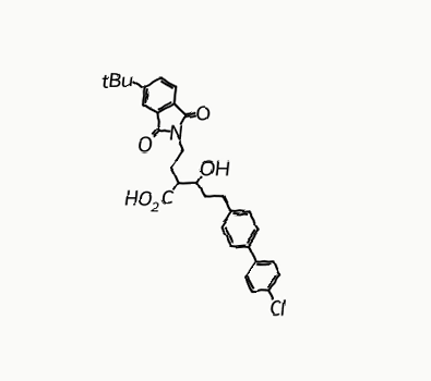 CC(C)(C)c1ccc2c(c1)C(=O)N(CCC(C(=O)O)C(O)CCc1ccc(-c3ccc(Cl)cc3)cc1)C2=O